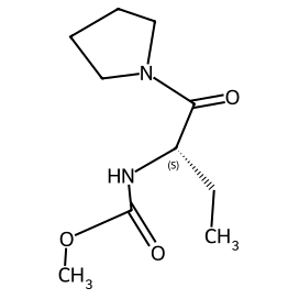 CC[C@H](NC(=O)OC)C(=O)N1CCCC1